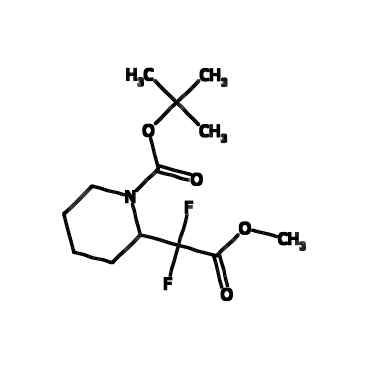 COC(=O)C(F)(F)C1CCCCN1C(=O)OC(C)(C)C